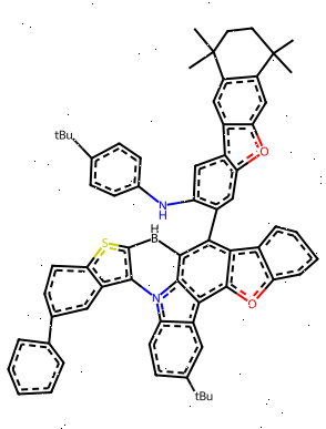 CC(C)(C)c1ccc(Nc2cc3c(cc2-c2c4c5c(c6cc(C(C)(C)C)ccc6n5-c5c(sc6ccc(-c7ccccc7)cc56)B4)c4oc5ccccc5c24)oc2cc4c(cc23)C(C)(C)CCC4(C)C)cc1